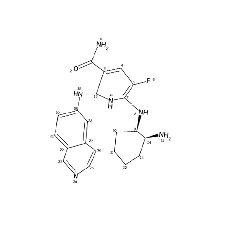 NC(=O)C1=CC(F)=C(N[C@@H]2CCCC[C@@H]2N)NC1Nc1ccc2cnccc2c1